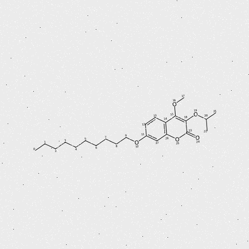 CCCCCCCCCCOc1ccc2c(OC)c(OC(C)C)c(=O)oc2c1